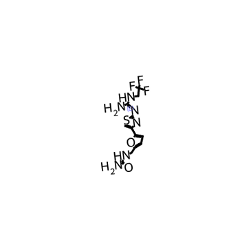 NC(=O)NCc1ccc(-c2csc(/N=C(\N)NCC(F)(F)F)n2)o1